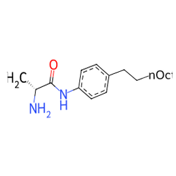 [CH2][C@@H](N)C(=O)Nc1ccc(CCCCCCCCCC)cc1